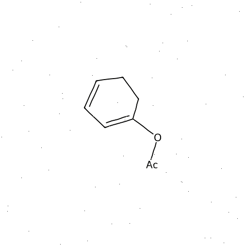 CC(=O)OC1=CC=CCC1